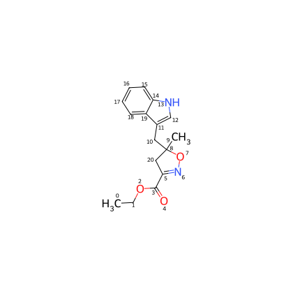 CCOC(=O)C1=NOC(C)(Cc2c[nH]c3ccccc23)C1